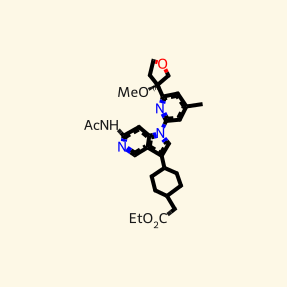 CCOC(=O)CC1CCC(c2cn(-c3cc(C)cc([C@]4(OC)CCOC4)n3)c3cc(NC(C)=O)ncc23)CC1